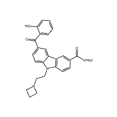 CCCCCCCC(=O)c1ccc2c(c1)c1cc(C(=O)c3ccccc3O)ccc1n2CCN1CCC1